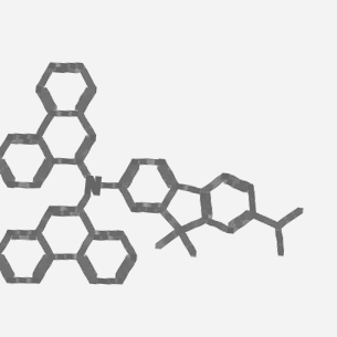 CC(C)c1ccc2c(c1)C(C)(C)c1cc(N(c3cc4ccccc4c4ccccc34)c3cc4ccccc4c4ccccc34)ccc1-2